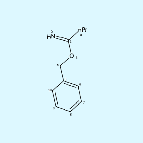 CCCC(=N)OCc1ccccc1